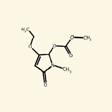 CCOC1=CC(=O)N(C)C1OC(=O)OC